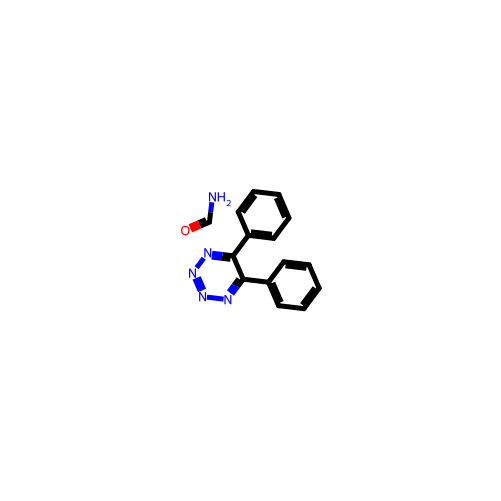 NC=O.c1ccc(-c2nnnnc2-c2ccccc2)cc1